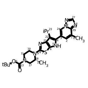 Cc1cc(-c2[nH]c3sc(N4CCN(C(=O)OC(C)(C)C)C[C@H]4C)nc3c2C(C)C)cn2ncnc12